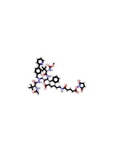 COC(=O)N[C@H](C(=O)N[C@@H](Cc1ccccc1)[C@H](CN(Cc1ccc(-c2ccccn2)cc1)NC(=O)[C@@H](NC(C)=O)C(C)(C)C)OC(=O)CCCCCNC(=O)CCCC(=O)ON1C(=O)CCC1=O)C(C)(C)C